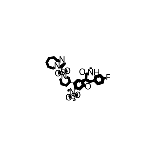 CNC(=O)c1c(-c2ccc(F)cc2)oc2cc(N(C)S(C)(=O)=O)c([C@@H]3CCCN(S(=O)(=O)c4cnc5n4CCCCC5)C3)cc12